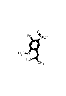 COc1cc(Br)c([N+](=O)[O-])cc1CC(C)N